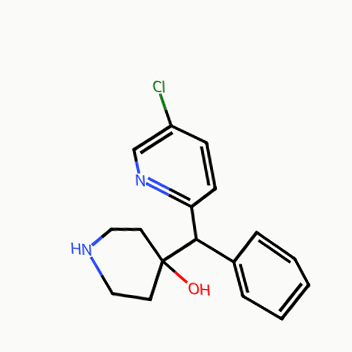 OC1(C(c2ccccc2)c2ccc(Cl)cn2)CCNCC1